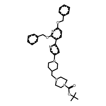 CC(C)(C)OC(=O)N1CCN(CC2CCN(c3ccc(-c4ccc(OCc5ccccc5)nc4OCc4ccccc4)nc3)CC2)CC1